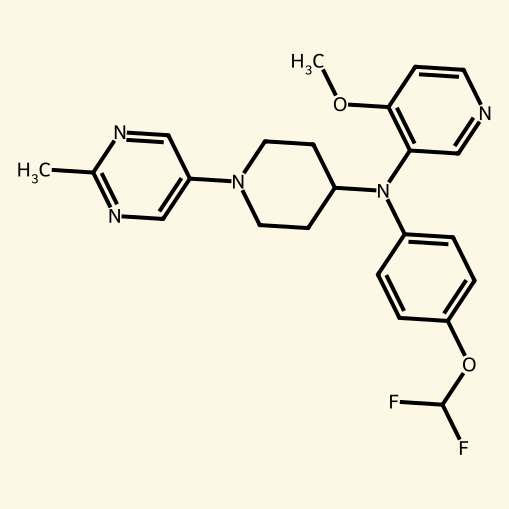 COc1ccncc1N(c1ccc(OC(F)F)cc1)C1CCN(c2cnc(C)nc2)CC1